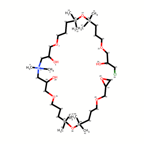 C[N+](C)(CC(O)COCCC[Si](C)(C)O[Si](C)(C)CCCOCC(O)CCl)CC(O)COCCC[Si](C)(C)O[Si](C)(C)CCCOCC1CO1